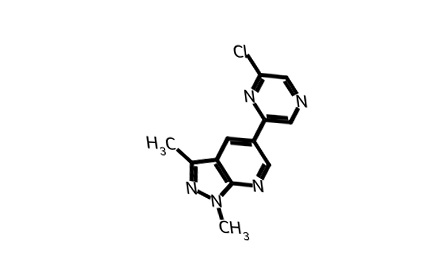 Cc1nn(C)c2ncc(-c3cncc(Cl)n3)cc12